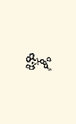 N#Cc1ccc2c3cc(-c4nc(-c5cccc6ccccc56)nc(-c5cccc6ccccc56)n4)ccc3n(-c3ccccc3)c2c1